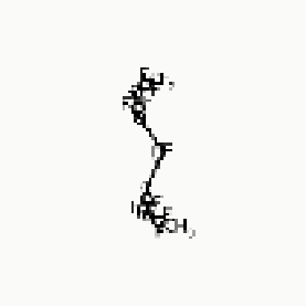 Cc1c(F)cc(OC(F)(F)c2c(F)cc(OCCCCCCCC(F)(F)CCCCCCCOc3cc(F)c(C(F)(F)Oc4cc(F)c(C(F)(F)F)c(F)c4)c(F)c3)cc2F)cc1F